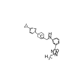 Cc1noc(-c2cccc(NCC34CCC(c5ccc(C6CC6)cc5)(CC3)CC4)c2)n1